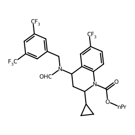 CCCOC(=O)N1c2ccc(C(F)(F)F)cc2C(N(C=O)Cc2cc(C(F)(F)F)cc(C(F)(F)F)c2)CC1C1CC1